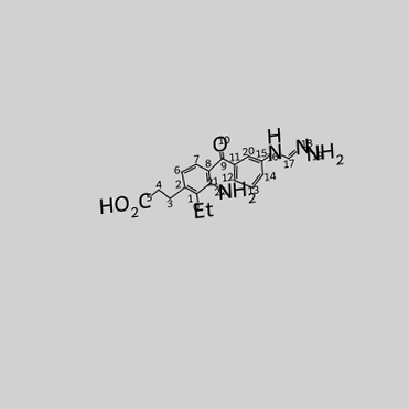 CCc1c(CCC(=O)O)ccc(C(=O)c2cccc(NC=NN)c2)c1N